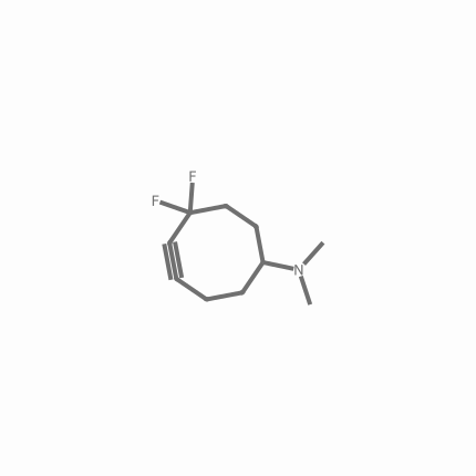 CN(C)C1CCC#CC(F)(F)CC1